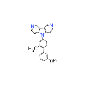 CCCc1cccc(-c2ccc(-n3c4ccncc4c4cnccc43)cc2C)c1